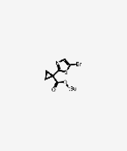 CC(C)(C)OC(=O)C1(c2ncc(Br)s2)CC1